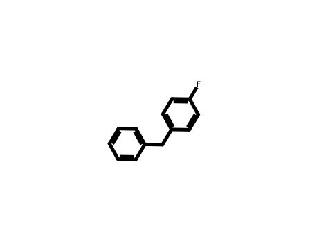 Fc1ccc(Cc2c[c]ccc2)cc1